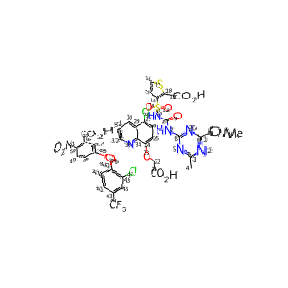 COc1nc(C)nc(NC(=O)NS(=O)(=O)c2ccsc2C(=O)O)n1.O=C(O)COc1ccc(Cl)c2cccnc12.O=C(O)c1cc(Oc2ccc(C(F)(F)F)cc2Cl)ccc1[N+](=O)[O-]